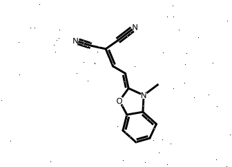 CN1/C(=C/C=C(C#N)C#N)Oc2ccccc21